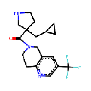 O=C(N1CCc2ncc(C(F)(F)F)cc2C1)C1(CC2CC2)CCNC1